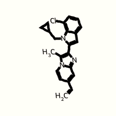 C=Cc1ccn2c(C)c(-c3cc4cccc(Cl)c4n3CC3CC3)nc2c1